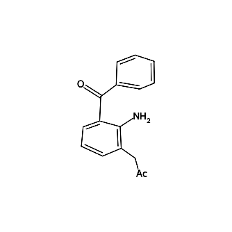 CC(=O)Cc1cccc(C(=O)c2ccccc2)c1N